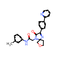 Cc1cccc(NC(=O)CN2C(=O)C(c3ccc(-c4ccccn4)cc3)=NC23CCOC3)c1